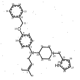 CC(C)=CCN(c1ccc(OCc2ccccc2)cc1)C1CCN(Cc2ccc[nH]2)CC1